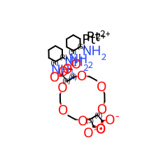 N[C@@H]1CCCC[C@H]1N.N[C@H]1CCCC[C@@H]1N.O=C([O-])[C@H]1OCCOCCO[C@@H](C(=O)[O-])[C@H](C(=O)[O-])OCCOCCO[C@H]1C(=O)[O-].[Pt+2].[Pt+2]